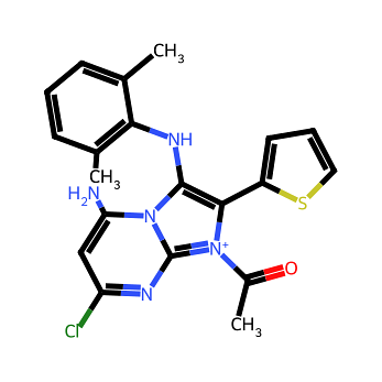 CC(=O)[n+]1c(-c2cccs2)c(Nc2c(C)cccc2C)n2c(N)cc(Cl)nc21